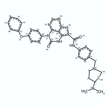 CN(C)C1CCN(Cc2ccc(NC(=O)c3sc4ncnc5c4c3NC(=O)N5c3ccc(Oc4ccccc4)cc3)cc2)CC1